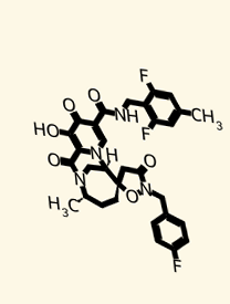 Cc1cc(F)c(CNC(=O)c2cn3c(c(O)c2=O)C(=O)N2C[C@@H]3[C@]3(CC[C@@H]2C)CC(=O)N(Cc2ccc(F)cc2)O3)c(F)c1